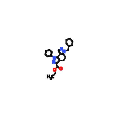 CCOC(=O)c1nn(-c2ccccc2)c2c1CCc1c-2cnn1Cc1ccccc1